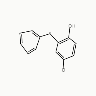 Oc1ccc(Cl)cc1[C]c1ccccc1